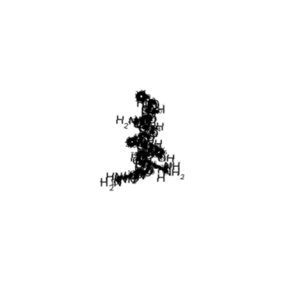 CC(=O)N[C@@H](N[C@H](C=O)Cc1ccccc1)C(=O)C[C@@H](N[C@H](C=O)CC(N)=O)C(=O)N[C@@H](N[C@@H](C)C=O)C(=O)C[C@@H](N[C@H](C=O)Cc1ccccc1)C(=O)N[C@@H](N[C@H](C=O)Cc1ccc(O)cc1)C(=O)C[C@@H](N[C@@H](C)C=O)C(=O)N[C@@H](N[C@H](C=O)CCCNC(=N)N)C(=O)C[C@@H](N[C@H](C=O)CCCNC(=N)N)C(N)=O